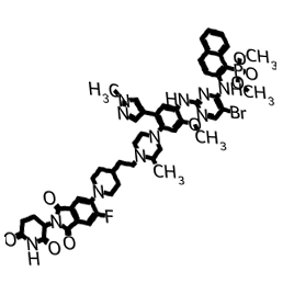 COc1cc(N2CCN(CCC3CCN(c4cc5c(cc4F)C(=O)N(C4CCC(=O)NC4=O)C5=O)CC3)C(C)C2)c(-c2cnn(C)c2)cc1Nc1ncc(Br)c(Nc2ccc3ccccc3c2P(=O)(OC)OC)n1